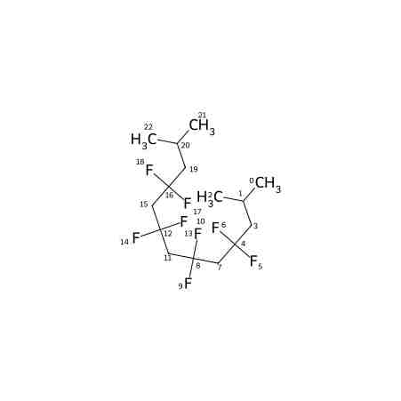 CC(C)CC(F)(F)CC(F)(F)CC(F)(F)CC(F)(F)CC(C)C